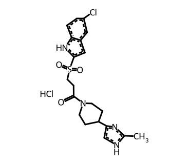 Cc1nc(C2CCN(C(=O)CCS(=O)(=O)c3cc4cc(Cl)ccc4[nH]3)CC2)c[nH]1.Cl